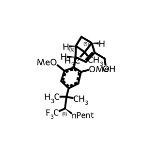 CCCCC[C@@H](C(F)(F)F)C(C)(C)c1cc(OC)c([C@H]2C=C(CO)[C@H]3C[C@@H]2C3(C)C)c(OC)c1